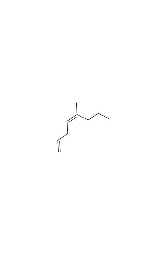 C=CCC=C(C)CCC